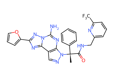 C[C@](C(=O)NCc1cccc(C(F)(F)F)n1)(c1ccccc1)n1ncc2c1nc(N)n1nc(-c3ccco3)nc21